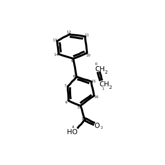 C=C.O=C(O)c1ccc(-c2ccccc2)cc1